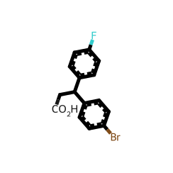 O=C(O)CC(c1ccc(F)cc1)c1ccc(Br)cc1